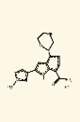 Cl.Cn1cc(-c2cc3c([C@@H]4CNCCO4)ccc(C(N)=O)c3[nH]2)cn1